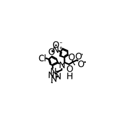 COC(OC)[C@@]1(C)Oc2ccc([N+](=O)[O-])cc2[C@H](N(Cc2nnn(C)n2)c2ccc(Cl)cc2C)[C@H]1O